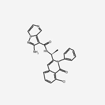 C[C@H](NC(=O)c1c(N)nn2ccncc12)c1cc2cccc(Cl)c2c(=O)n1-c1ccccc1